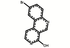 Oc1nccc2c1cnc1ccc(Br)cc12